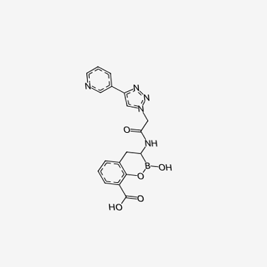 O=C(Cn1cc(-c2cccnc2)nn1)NC1Cc2cccc(C(=O)O)c2OB1O